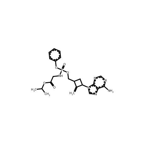 C=C1C(COP(=O)(NCC(=O)OC(C)C)Oc2ccccc2)CC1n1cnc2c(N)ncnc21